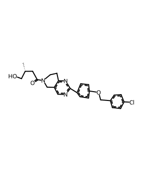 C[C@@H](CO)CC(=O)N1CCc2nc(-c3ccc(OCc4ccc(Cl)cc4)cc3)ncc2C1